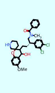 COc1ccc2c(c1)C(O)C(CC[C@H](CN(C)C(=O)c1ccccc1)c1ccc(Cl)c(Cl)c1)C1(CCCNC1)O2